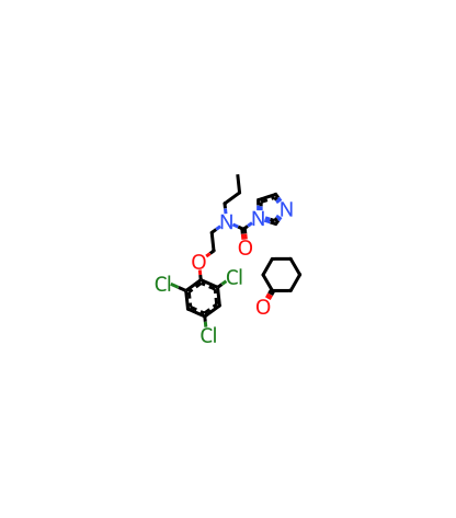 CCCN(CCOc1c(Cl)cc(Cl)cc1Cl)C(=O)n1ccnc1.O=C1CCCCC1